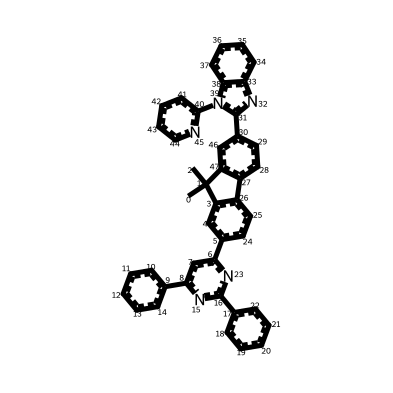 CC1(C)c2cc(-c3cc(-c4ccccc4)nc(-c4ccccc4)n3)ccc2-c2ccc(-c3nc4ccccc4n3-c3ccccn3)cc21